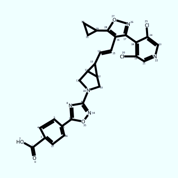 O=C(O)c1ccc(-c2nc(N3CC4C(/C=C/c5c(-c6c(Cl)cncc6Cl)noc5C5CC5)C4C3)no2)cc1